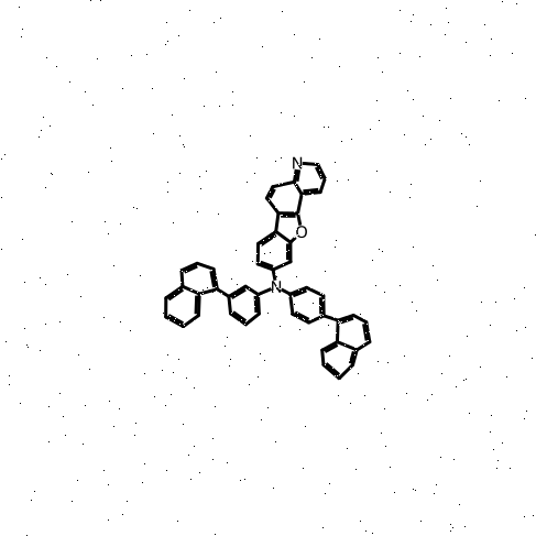 c1cc(-c2cccc3ccccc23)cc(N(c2ccc(-c3cccc4ccccc34)cc2)c2ccc3c(c2)oc2c4cccnc4ccc32)c1